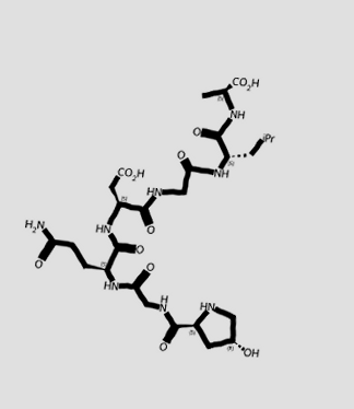 CC(C)C[C@H](NC(=O)CNC(=O)[C@H](CC(=O)O)NC(=O)[C@H](CCC(N)=O)NC(=O)CNC(=O)[C@@H]1C[C@@H](O)CN1)C(=O)N[C@@H](C)C(=O)O